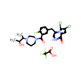 CC(O)C(C)N1CCCN(C(=O)c2cc(Cc3c[nH]c(=O)c4cc(Cl)c(Cl)n34)ccc2F)CC1.O=C(O)C(F)(F)F